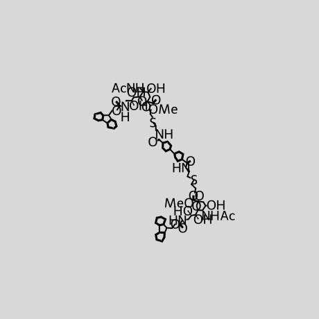 COC(=O)C1(OCCCSCCNC(=O)c2ccc(-c3ccc(C(=O)NCCSCCCOC4(C(=O)OC)CC(O)C(NC(C)=O)C([C@H](O)[C@@H](O)CNC(=O)OCC5c6ccccc6-c6ccccc65)O4)cc3)cc2)CC(O)C(NC(C)=O)C([C@@H](O)[C@H](O)CNC(=O)OCC2c3ccccc3-c3ccccc32)O1